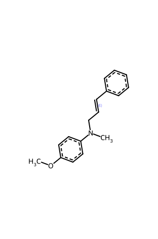 COc1ccc(N(C)C/C=C/c2ccccc2)cc1